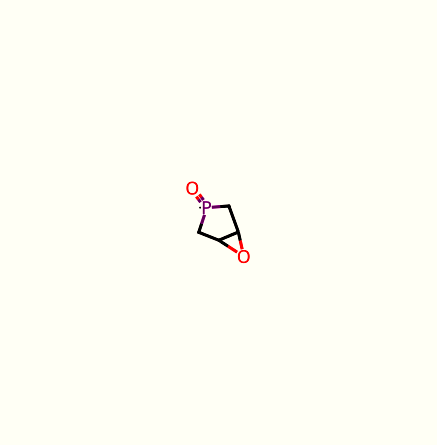 O=[P]1CC2OC2C1